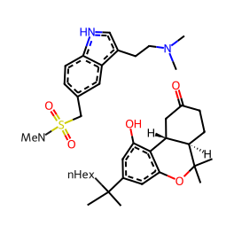 CCCCCCC(C)(C)c1cc(O)c2c(c1)OC(C)(C)[C@@H]1CCC(=O)C[C@@H]21.CNS(=O)(=O)Cc1ccc2[nH]cc(CCN(C)C)c2c1